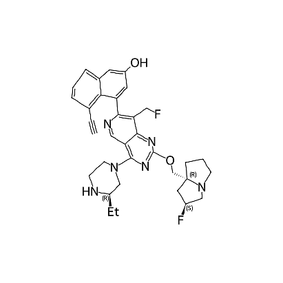 C#Cc1cccc2cc(O)cc(-c3ncc4c(N5CCN[C@H](CC)C5)nc(OC[C@]56CCCN5C[C@@H](F)C6)nc4c3CF)c12